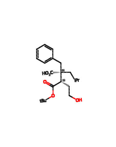 CC(C)C[C@@](Cc1ccccc1)(C(=O)O)[C@H](CCO)C(=O)OC(C)(C)C